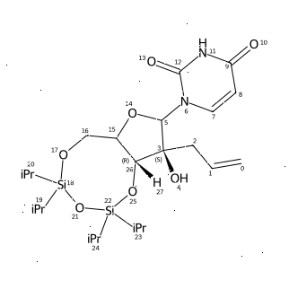 C=CC[C@@]1(O)C(n2ccc(=O)[nH]c2=O)OC2CO[Si](C(C)C)(C(C)C)O[Si](C(C)C)(C(C)C)O[C@H]21